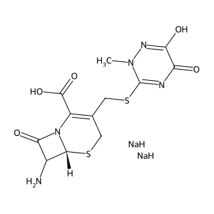 Cn1nc(O)c(=O)nc1SCC1=C(C(=O)O)N2C(=O)C(N)[C@H]2SC1.[NaH].[NaH]